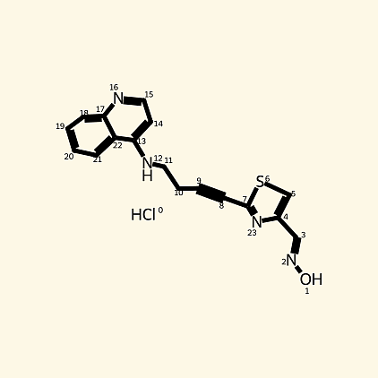 Cl.ON=Cc1csc(C#CCCNc2ccnc3ccccc23)n1